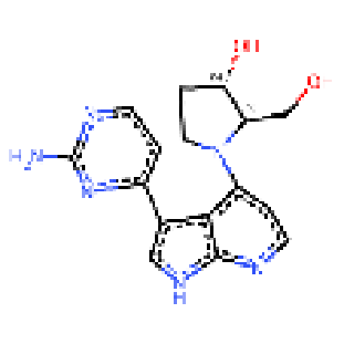 Nc1nccc(-c2c[nH]c3nccc(N4CC[C@H](O)[C@H]4CO)c23)n1